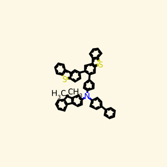 CC1(C)c2ccccc2-c2ccc(N(c3ccc(-c4ccccc4)cc3)c3ccc(-c4cc5sc6ccccc6c5cc4-c4ccc5sc6ccccc6c5c4)cc3)cc21